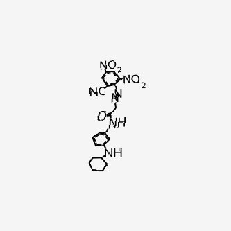 N#Cc1cc([N+](=O)[O-])cc([N+](=O)[O-])c1N=NCC(=O)Nc1cccc(NC2CCCCC2)c1